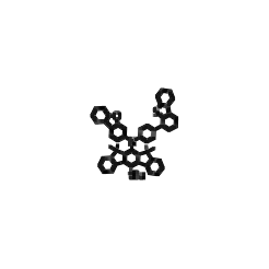 CC(C)(C)c1c2c(c(N(c3ccc(-c4cccc5c4sc4ccccc45)cc3)c3ccc4c(c3)oc3ccccc34)c3c1-c1ccccc1C3(C)C)C(C)(C)c1ccccc1-2